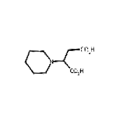 O=C(O)CC(C(=O)O)N1CCCCC1